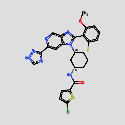 COc1cccc(F)c1-c1nc2cnc(-c3nc[nH]n3)cc2n1[C@@H]1CCC[C@H](NC(=O)c2ccc(Cl)s2)C1